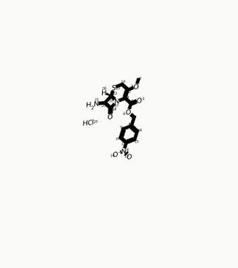 COC1=C(C(=O)OCc2ccc([N+](=O)[O-])cc2)N2C(=O)C(N)[C@@H]2SC1.Cl